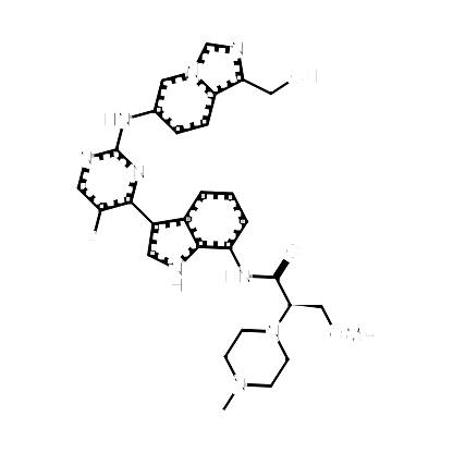 COC[C@H](C(=O)Nc1cccc2c(-c3nc(Nc4ccc5c(CO)ncn5c4)ncc3F)c[nH]c12)N1CCN(C)CC1